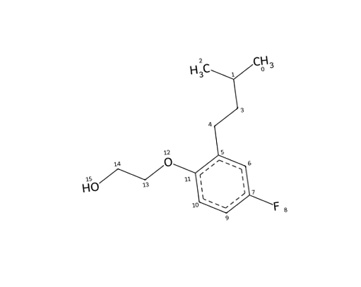 CC(C)CCc1cc(F)ccc1OCCO